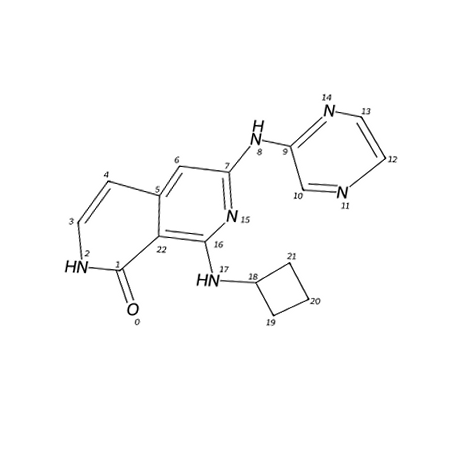 O=c1[nH]ccc2cc(Nc3cnccn3)nc(NC3CCC3)c12